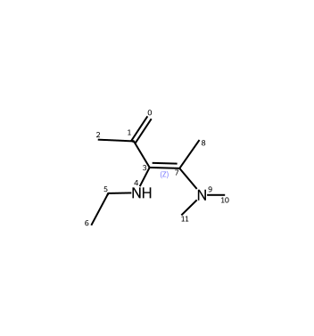 C=C(C)/C(NCC)=C(\C)N(C)C